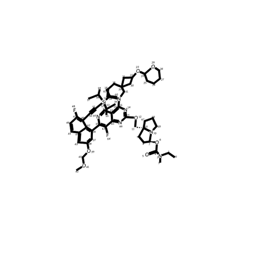 CCN(C)C(=O)O[C@H]1CC[C@@]2(COc3nc(N4CCCC5(CC(OC6CCCCO6)C5)C4)c4cnc(-c5cc(OCOC)cc6ccc(F)c(C#C[Si](C(C)C)(C(C)C)C(C)C)c56)c(F)c4n3)CCCN12